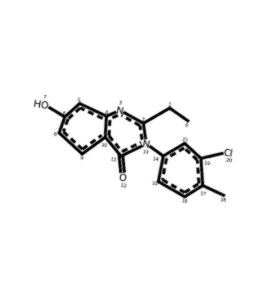 CCc1nc2cc(O)ccc2c(=O)n1-c1ccc(C)c(Cl)c1